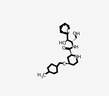 CC1CCC(CC[C@@H]2CCN[C@H](C(=O)N[C@@H](CO)[C@@H](O)c3ccccc3)C2)CC1